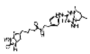 CC1CC(C)CN(C(=N)NC(=N)Nc2ccc(CCNC(=O)CCCCC3CC4NC(=O)NC4S3)cc2)C1